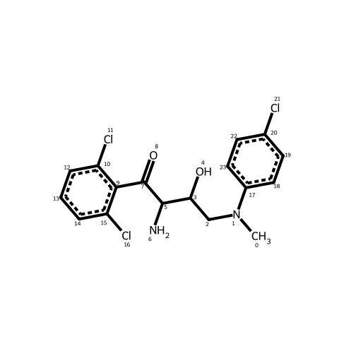 CN(CC(O)C(N)C(=O)c1c(Cl)cccc1Cl)c1ccc(Cl)cc1